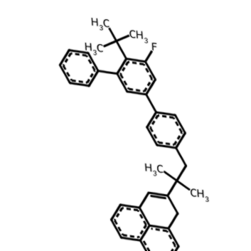 CC(C)(Cc1ccc(-c2cc(F)c(C(C)(C)C)c(-c3ccccc3)c2)cc1)C1=Cc2cccc3cccc(c23)C1